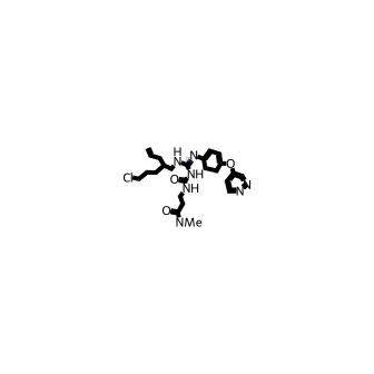 C=CCC(CCCCl)CN/C(=N/C1=CC=C(Oc2ccnnc2)CC1)NC(=O)NCCC(=O)NC